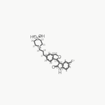 O=C1Nc2ccc(F)cc2C1=C1OCc2cc(CCCN3CCS(O)(O)CC3)ccc21